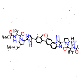 COC[C@H]1CC(c2ncc(-c3ccc4c(c3)COc3cc5c(ccc6nc([C@@H]7CC[C@H](C)N7C(=O)[C@@H](NC(=O)OC)C(C)C)[nH]c65)cc3-4)[nH]2)N(C(=O)C(NC(=O)OC)C(C)C)C1